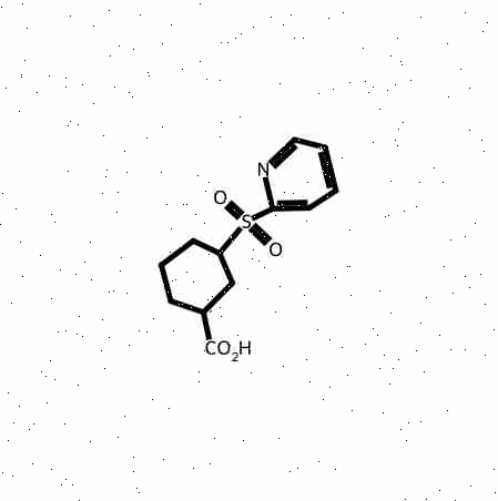 O=C(O)C1CCCC(S(=O)(=O)c2ccccn2)C1